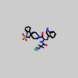 CC(C)(N)C(=O)NC(Cc1c[nH]c2ccccc12)C(=O)N1CCC2(CC1)CN(S(C)(=O)=O)c1ccccc12.Cl